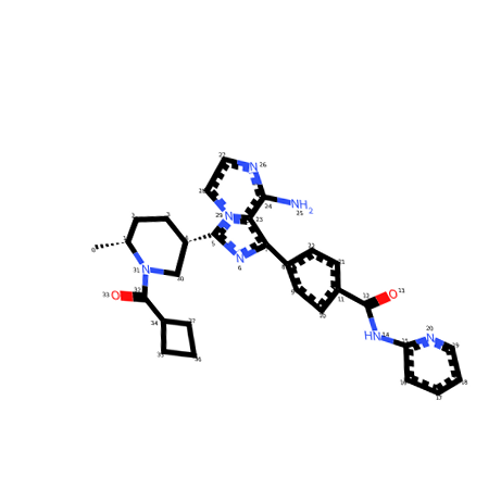 C[C@@H]1CC[C@H](c2nc(-c3ccc(C(=O)Nc4ccccn4)cc3)c3c(N)nccn23)CN1C(=O)C1CCC1